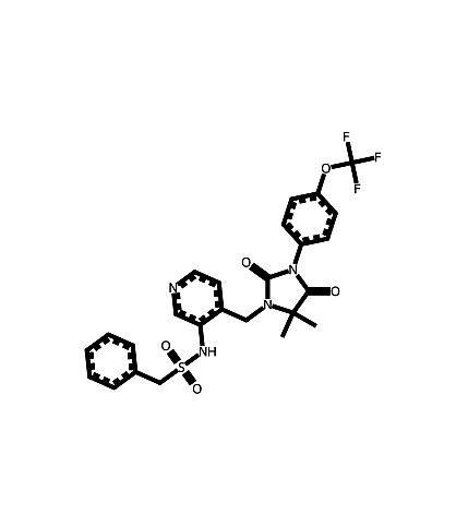 CC1(C)C(=O)N(c2ccc(OC(F)(F)F)cc2)C(=O)N1Cc1ccncc1NS(=O)(=O)Cc1ccccc1